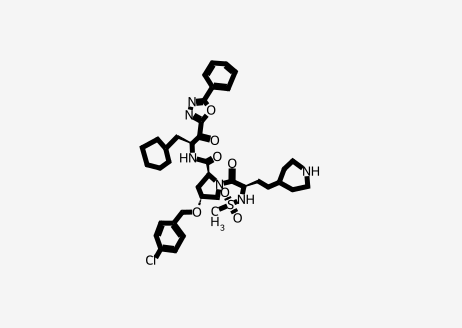 CS(=O)(=O)N[C@H](CCC1CCNCC1)C(=O)N1C[C@H](OCc2ccc(Cl)cc2)C[C@H]1C(=O)N[C@@H](CC1CCCCC1)C(=O)c1nnc(-c2ccccc2)o1